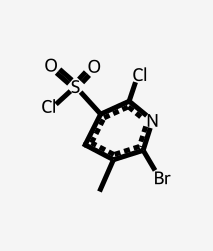 Cc1cc(S(=O)(=O)Cl)c(Cl)nc1Br